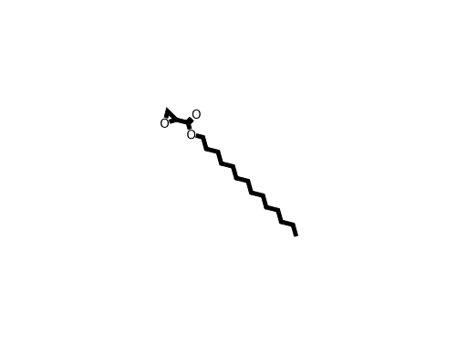 CCCCCCCCCCCCCCOC(=O)C1CO1